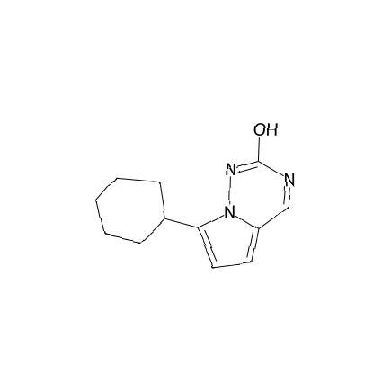 Oc1ncc2ccc(C3CCCCC3)n2n1